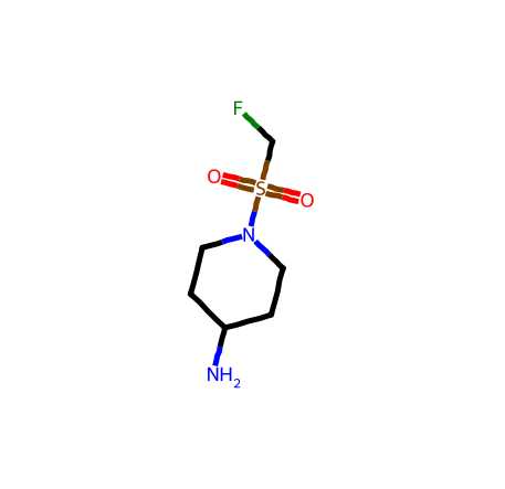 NC1CCN(S(=O)(=O)CF)CC1